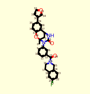 CC12CC(NC(=O)N1c1cccc(C(=O)N3CCc4cc(F)ccc4C3)c1)c1cc(-c3ccoc3)ccc1O2